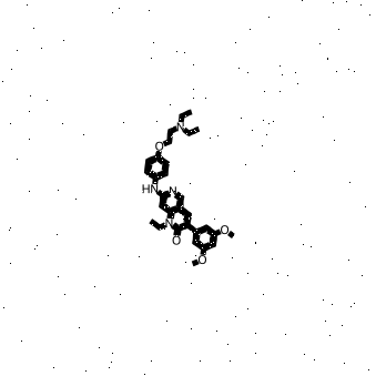 CCN(CC)CCOc1ccc(Nc2cc3c(cn2)cc(-c2cc(OC)cc(OC)c2)c(=O)n3CC)cc1